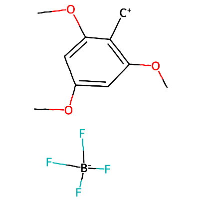 F[B-](F)(F)F.[CH2+]c1c(OC)cc(OC)cc1OC